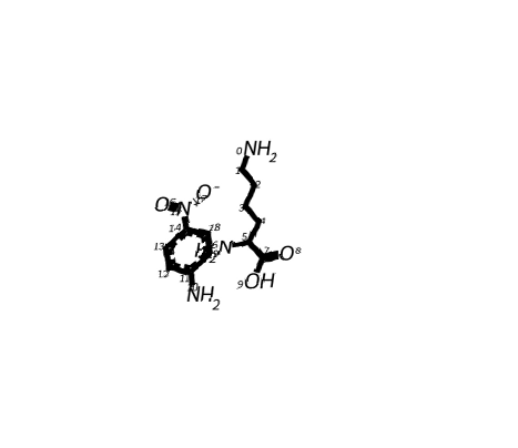 NCCCCC(N)C(=O)O.Nc1ccc([N+](=O)[O-])cc1